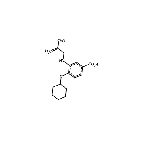 C=C(C=O)CNc1cc(C(=O)O)ccc1OC1CCCCC1